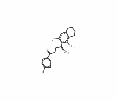 C=C(CCC(=O)c1ccc(F)cc1)c1c(C)cc2c(c1C)CCCC2